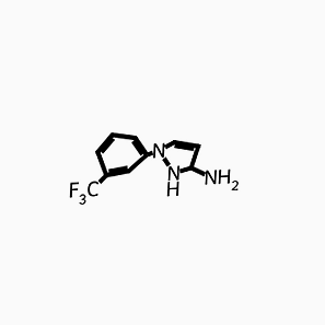 NC1C=CN(c2cccc(C(F)(F)F)c2)N1